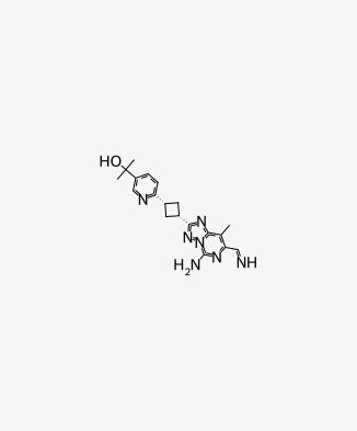 Cc1c(C=N)nc(N)n2nc([C@H]3C[C@@H](c4ccc(C(C)(C)O)cn4)C3)nc12